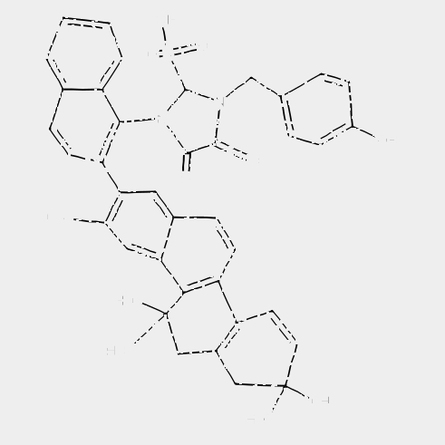 Cc1cc2c3c(ccc2cc1-c1ccc2ccccc2c1N1C(=O)C(=O)N(Cc2ccc(O)cc2)C1S(=O)(=O)O)C1=C(CC(C)(C)C=C1)CC3(C)C